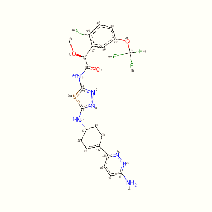 CO[C@H](C(=O)Nc1nnc(N[C@H]2CC=C(c3ccc(N)nn3)CC2)s1)c1cc(OC(F)(F)F)ccc1F